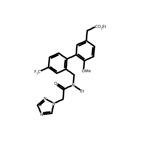 CCOC(=O)Cc1ccc(OC)c(-c2ccc(C(F)(F)F)cc2CN(CC)C(=O)Cn2cncn2)c1